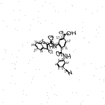 N#Cc1cccc(NC(=O)c2ccc(C(=O)O)cc2NC(=O)c2sc3ccccc3c2Cl)c1